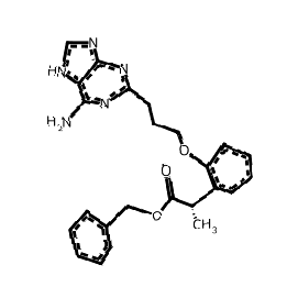 C[C@H](C(=O)OCc1ccccc1)c1ccccc1OCCCc1nc(N)c2[nH]cnc2n1